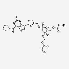 CC(C)OC(=O)OCOP(=O)(CP(=O)(O)OC[C@@H]1CC[C@H](c2cnc3c(NC4CCCC4)nc(Cl)nn23)O1)OCOC(=O)OC(C)C